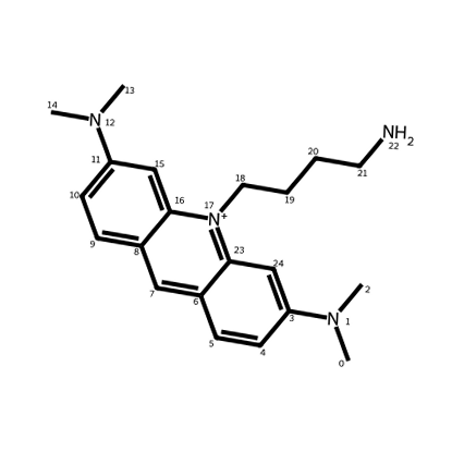 CN(C)c1ccc2cc3ccc(N(C)C)cc3[n+](CCCCN)c2c1